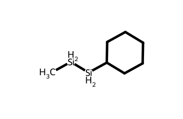 C[SiH2][SiH2]C1CCCCC1